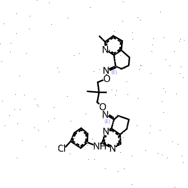 Cc1ccc2c(n1)/C(=N/OCC(C)(C)CO/N=C1\CCCc3cnc(Nc4cccc(Cl)c4)nc31)CCC2